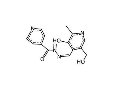 Cc1ncc(CO)c(/C=N\NC(=O)c2ccncc2)c1O